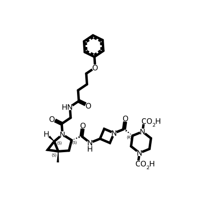 C[C@@]12C[C@@H]1N(C(=O)CNC(=O)CCCOc1ccccc1)[C@H](C(=O)NC1CN(C(=O)[C@H]3CN(C(=O)O)CCN3C(=O)O)C1)C2